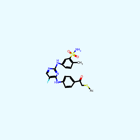 CC(=O)SCC(=O)c1ccc(Nc2nc(Nc3ccc(C)c(S(N)(=O)=O)c3)ncc2F)cc1